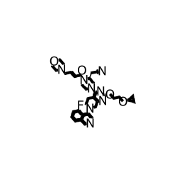 N#CC[C@H]1CN(c2nc(OCCOC3CC3)nc3c2CCN(c2cncc4cccc(F)c24)C3)CCN1C(=O)/C=C/CN1CCOCC1